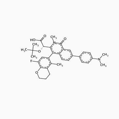 Cc1c(-c2c([C@H](OC(C)(C)C)C(=O)O)n(C)c(=O)c3cc(-c4ccc(N(C)C)cc4)ccc23)cc(F)c2c1CCCO2